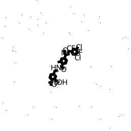 Cc1cc(C2=NOC(c3cc(Cl)c(F)c(Cl)c3)(C(F)(F)F)C2)ccc1C(=O)NCCc1ccc2c(c1)B(O)OC2(C)C